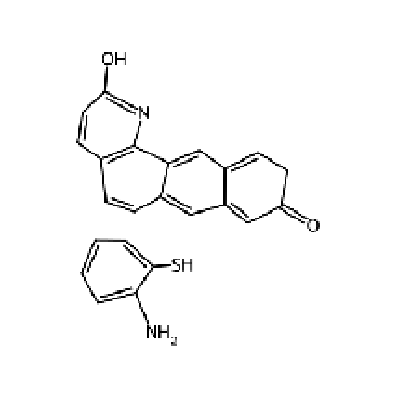 Nc1ccccc1S.O=C1C=c2cc3ccc4ccc(O)nc4c3cc2=CC1